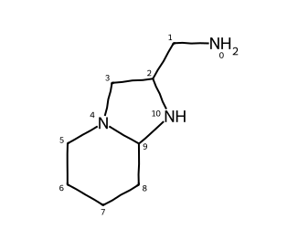 NCC1CN2CCCCC2N1